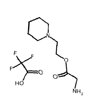 NCC(=O)OCCN1CCCCC1.O=C(O)C(F)(F)F